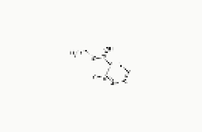 CCOC(=N)c1cccnc1Cl